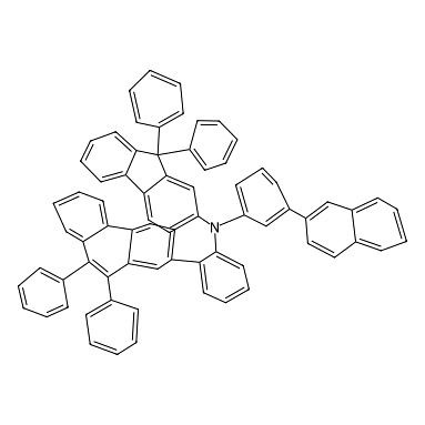 c1ccc(-c2c(-c3ccccc3)c3cc(-c4ccccc4N(c4cccc(-c5ccc6ccccc6c5)c4)c4ccc5c(c4)C(c4ccccc4)(c4ccccc4)c4ccccc4-5)ccc3c3ccccc23)cc1